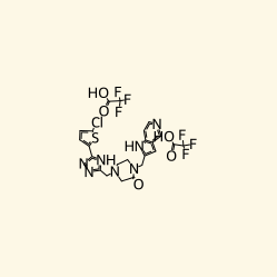 O=C(O)C(F)(F)F.O=C(O)C(F)(F)F.O=C1CN(Cc2nnc(-c3ccc(Cl)s3)[nH]2)CCN1Cc1cc2cnccc2[nH]1